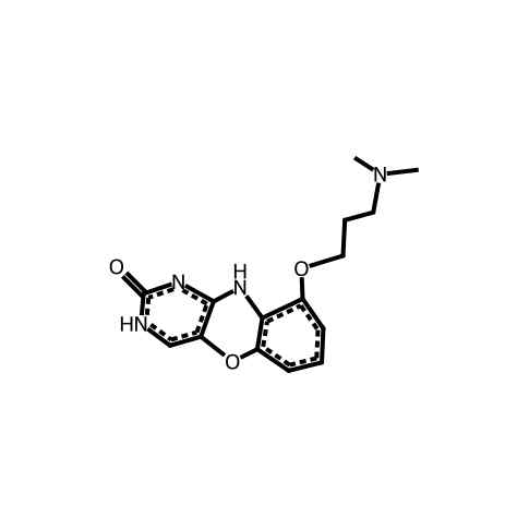 CN(C)CCCOc1cccc2c1Nc1nc(=O)[nH]cc1O2